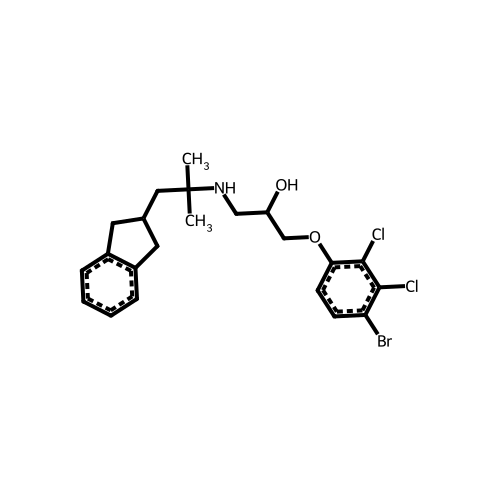 CC(C)(CC1Cc2ccccc2C1)NCC(O)COc1ccc(Br)c(Cl)c1Cl